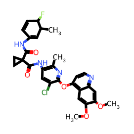 COc1cc2nccc(Oc3nc(C)c(NC(=O)C4(C(=O)NC5=CC(C)C(F)C=C5)CC4)cc3Cl)c2cc1OC